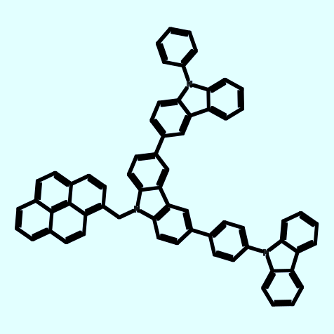 c1ccc(-n2c3ccccc3c3cc(-c4ccc5c(c4)c4cc(-c6ccc(-n7c8ccccc8c8ccccc87)cc6)ccc4n5Cc4ccc5ccc6cccc7ccc4c5c67)ccc32)cc1